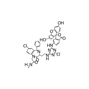 NC(=O)CN1C(=O)C(CCNc2nc(Cl)nc(Nc3ccc4c(c3)C3(OC4=O)c4ccc(O)cc4Oc4cc(O)ccc43)n2)N=C(c2ccccc2)c2cc(Cl)ccc21